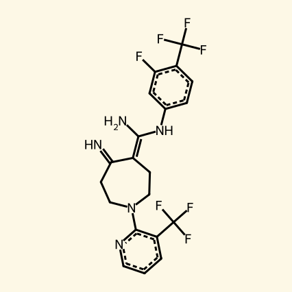 N=C1CCN(c2ncccc2C(F)(F)F)CC/C1=C(/N)Nc1ccc(C(F)(F)F)c(F)c1